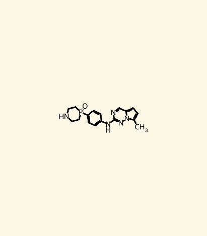 Cc1ccc2cnc(Nc3ccc(P4(=O)CCNCC4)cc3)nn12